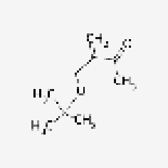 C=C(COC(C)(C)C)C(C)=O